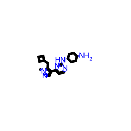 Cn1ncc(-c2ccnc(N[C@H]3CC[C@H](N)CC3)n2)c1CC1CCC1